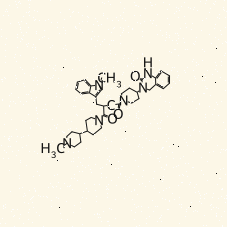 CN1CCC(C2CCN(C(=O)C(CC(=O)N3CCC(N4Cc5ccccc5NC4=O)CC3)Cc3cn(C)c4ccccc34)CC2)CC1